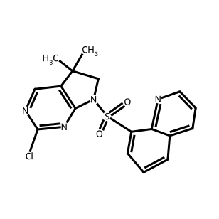 CC1(C)CN(S(=O)(=O)c2cccc3cccnc23)c2nc(Cl)ncc21